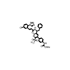 COC(=O)Nc1ccc(-c2cc(C(Cc3ccccc3)NC(=O)C=Cc3cc(Cl)ccc3-n3cnnn3)nnc2S(C)(=O)=O)cc1